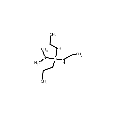 CCC[Si](NCC)(NCC)N(C)C